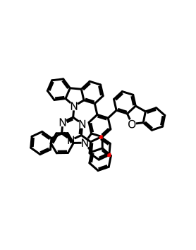 c1ccc(-c2nc(-c3ccccc3)nc(-n3c4ccccc4c4cccc(-c5cc6c(cc5-c5cccc7c5oc5ccccc57)c5ccccc5n6-c5ccccc5)c43)n2)cc1